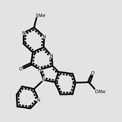 COC(=O)c1ccc2c(c1)c1nc3nc(SC)ncc3c(=O)n1n2-c1ccccn1